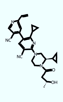 C=Cc1cc(-c2cc(C#N)c(N3CCN(C(=O)C[C@@H](C)O)[C@H](C4CC4)C3)nc2C2CC2)c(C#N)cn1